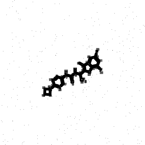 Cc1c(C(NC(=O)Nc2cnc(N3CCC3)nc2)C(F)(F)F)oc2c(F)cc(F)cc12